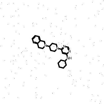 c1ccc2c(c1)CCN(C1CCN(c3cc(NC4CCCCC4)ncn3)CC1)C2